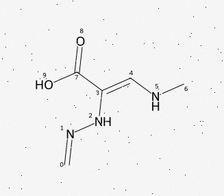 C=NN/C(=C\NC)C(=O)O